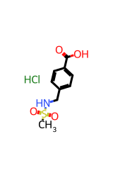 CS(=O)(=O)NCc1ccc(C(=O)O)cc1.Cl